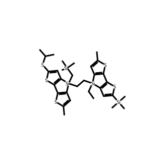 CC[Si]1(CC[Si]2(C[Si](C)(C)C)c3cc(C)sc3-c3sc(SC(C)C)cc32)c2cc(C)sc2-c2sc([Si](C)(C)C)cc21